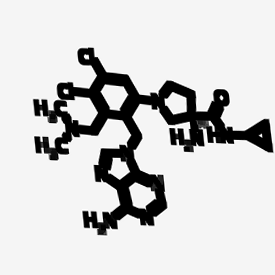 CN(C)Cc1c(Cl)c(Cl)cc(N2CC[C@](N)(C(=O)NC3CC3)C2)c1Cn1cnc2c(N)ncnc21